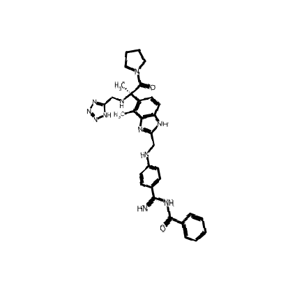 Cc1c([C@@](C)(NCc2nnn[nH]2)C(=O)N2CCCC2)ccc2[nH]c(CNc3ccc(C(=N)NC(=O)c4ccccc4)cc3)nc12